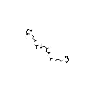 CC(=O)C(CC(=O)NC(C)NC(=O)CCN1C(=O)C=CC1=O)CC(=O)NC(C)NC(=O)CCN1C(=O)C=CC1=O